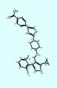 O=C(O)c1ccc(-c2csc(N3CCC(OCc4c(-c5c(F)cccc5F)noc4C4CC4)CC3)n2)cc1